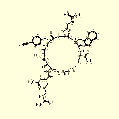 CC(=O)N[C@@H](CCCNC(=N)N)C(=O)N[C@H]1CCC(=O)NCCCC(C(N)=O)NC(=O)[C@H](Cc2c[nH]c3ccccc23)NC(=O)[C@H](CCCNC(=N)N)NC(=O)[C@@H](Cc2ccc(C#N)cc2)NC(=O)[C@H](C)NC1=O